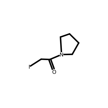 O=C(CI)N1CCCC1